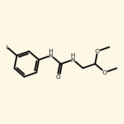 COC(CNC(=O)Nc1cccc(I)c1)OC